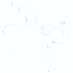 C[C@H](N)c1oc(-c2ccc(OC(F)F)c(OCC3CC3)c2)nc1C(=O)NOCC1CC1.Cl